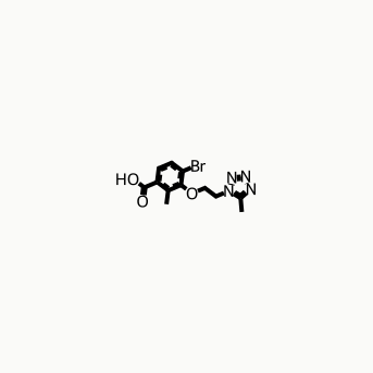 Cc1c(C(=O)O)ccc(Br)c1OCCn1nnnc1C